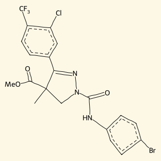 COC(=O)C1(C)CN(C(=O)Nc2ccc(Br)cc2)N=C1c1ccc(C(F)(F)F)c(Cl)c1